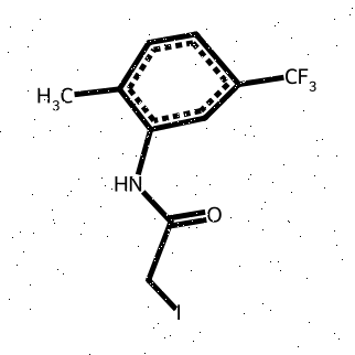 Cc1ccc(C(F)(F)F)cc1NC(=O)CI